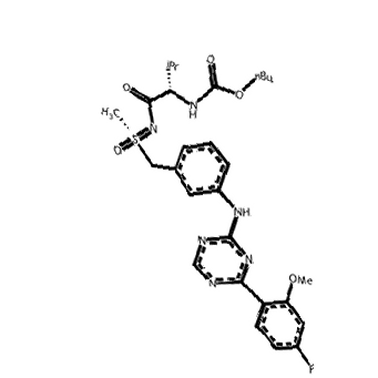 CCCCOC(=O)N[C@H](C(=O)N=[S@](C)(=O)Cc1cccc(Nc2ncnc(-c3ccc(F)cc3OC)n2)c1)C(C)C